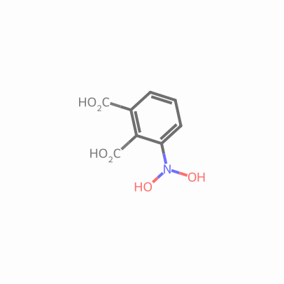 O=C(O)c1cccc(N(O)O)c1C(=O)O